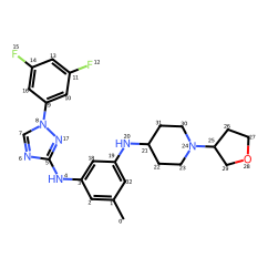 Cc1cc(Nc2ncn(-c3cc(F)cc(F)c3)n2)cc(NC2CCN(C3CCOC3)CC2)c1